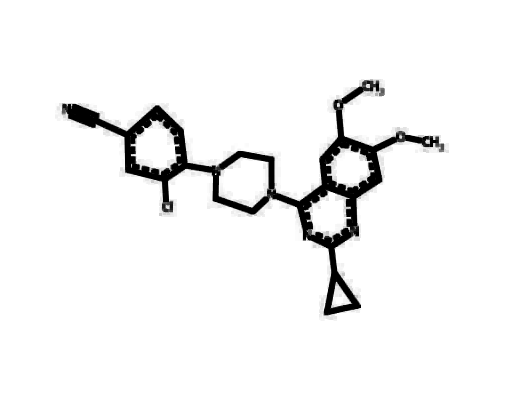 COc1cc2nc(C3CC3)nc(N3CCN(c4ccc(C#N)cc4Cl)CC3)c2cc1OC